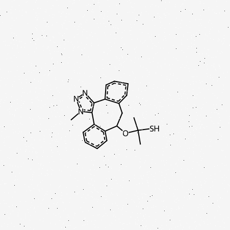 Cn1nnc2c1-c1ccccc1C(OC(C)(C)S)Cc1ccccc1-2